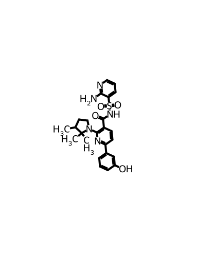 CC1CCN(c2nc(-c3cccc(O)c3)ccc2C(=O)NS(=O)(=O)c2cccnc2N)C1(C)C